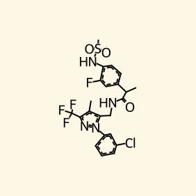 Cc1c(C(F)(F)F)nn(-c2cccc(Cl)c2)c1CNC(=O)C(C)c1ccc(NS(C)(=O)=O)c(F)c1